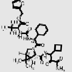 CC(C)(C)[C@H](NC(=O)N[C@H](C(=O)N1C[C@H]2[C@@H]([C@H]1C(=O)NC(C(=O)C(N)=O)C1CCC1)C2(C)C)C1CCCCC1)C(=O)OCc1ccco1